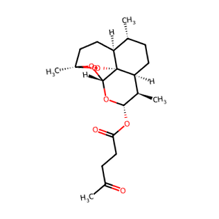 CC(=O)CCC(=O)O[C@@H]1O[C@@H]2O[C@]3(C)CC[C@H]4[C@H](C)CC[C@@H]([C@H]1C)[C@@]24OO3